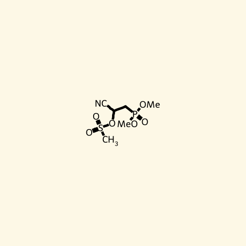 COP(=O)(CC(C#N)OS(C)(=O)=O)OC